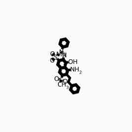 CS(=O)(=O)c1cc2cc([S](=O)(=O)[Mo])c(/N=N/c3ccccc3)c(O)c2c(N)c1CCc1ccccc1